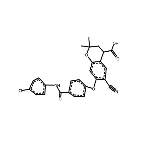 CC1(C)CC(C(=O)O)c2cc(C#N)c(Oc3ccc(C(=O)Nc4ccc(Cl)cc4)cc3)cc2O1